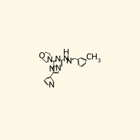 Cc1cccc(/C=N/Nc2cn3cc(-c4cccnc4)nc3c(N3CCOCC3)n2)c1